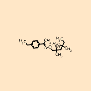 CCc1ccc(/C(C)=N/OCC(C)(C)CC(C)(C)CC)cc1